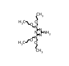 CCCOCN(COCCC)c1nc(N)nc(N(COCCC)COCCC)n1